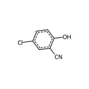 N#Cc1cc(Cl)[c]cc1O